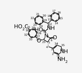 NC1=CC(C[C@H]2C(=O)N(C(O)NC(c3ccccc3)c3ccccc3)[C@@H]2Oc2ccc(C(=O)O)cc2)=CCN1